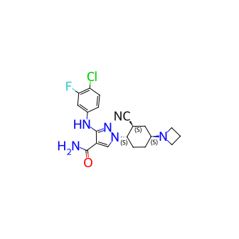 N#C[C@H]1C[C@@H](N2CCC2)CC[C@@H]1n1cc(C(N)=O)c(Nc2ccc(Cl)c(F)c2)n1